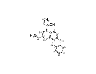 C=CC(O)Sc1ccc2c(c1SC(O)C=C)Sc1ccccc1S2